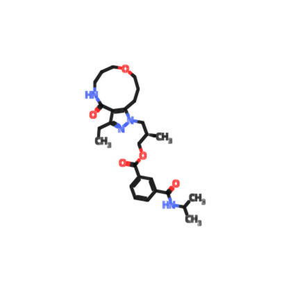 CCc1nn(C[C@@H](C)COC(=O)c2cccc(C(=O)NC(C)C)c2)c2c1C(=O)NCCCOCCC2